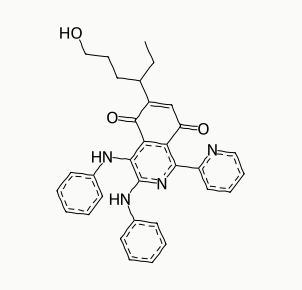 CCC(CCCO)C1=CC(=O)c2c(-c3ccccn3)nc(Nc3ccccc3)c(Nc3ccccc3)c2C1=O